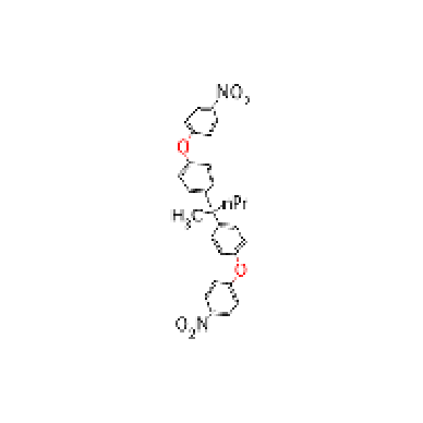 CCCC(C)(c1ccc(Oc2ccc([N+](=O)[O-])cc2)cc1)c1ccc(Oc2ccc([N+](=O)[O-])cc2)cc1